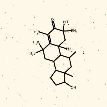 BC1=C2C(B)(B)CC3C(C(C)CC4(C)C(O)CCC34)C2(B)CC(B)(B)C1=O